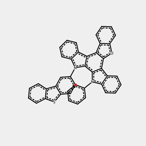 c1ccc(-n2c3ccccc3c3c4oc5ccccc5c4c4c5ccccc5n(-c5ccc6sc7ccccc7c6c5)c4c32)cc1